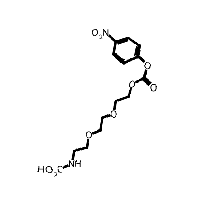 O=C(O)NCCOCCOCCOC(=O)Oc1ccc([N+](=O)[O-])cc1